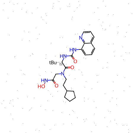 CC(C)(C)[C@H](NC(=O)Nc1cccc2cccnc12)C(=O)N(CCC1CCCC1)CC(=O)NO